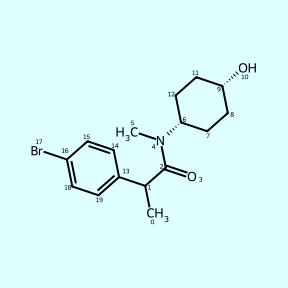 CC(C(=O)N(C)[C@H]1CC[C@@H](O)CC1)c1ccc(Br)cc1